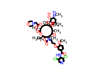 CC[C@H]1OC(=O)[C@H](C)[C@@H](OC(=O)CN2CCOCC2)[C@H](C)[C@@H](O[C@@H]2O[C@H](C)C[C@H](NC)[C@H]2O)[C@](C)(OC)C[C@@H](C)C(=O)[C@H](C)[C@H]2N(CCCOc3cc(C(=O)Nc4c(Cl)cncc4Cl)ccc3OC)C(=O)O[C@]12C